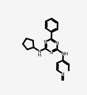 C=N/C=C\C(=C/C)Nc1nc(NC2CCCC2)nc(-c2ccccc2)n1